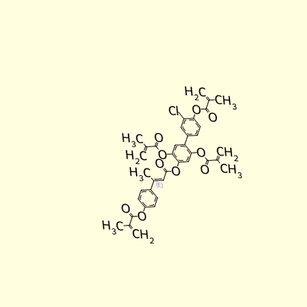 C=C(C)C(=O)Oc1ccc(/C(C)=C/C(=O)Oc2cc(OC(=O)C(=C)C)c(-c3ccc(OC(=O)C(=C)C)c(Cl)c3)cc2OC(=O)C(=C)C)cc1